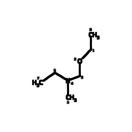 CCOCN(C)CC